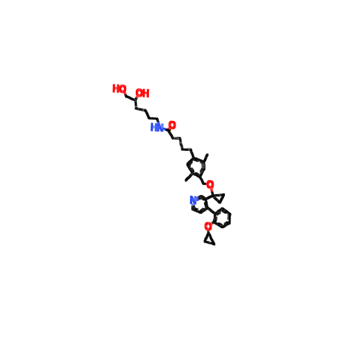 Cc1cc(COC2(c3cnccc3-c3ccccc3OC3CC3)CC2)c(C)cc1CCCCC(=O)NCCCCC(O)CO